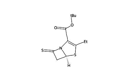 CCC1=C(C(=O)OC(C)(C)C)N2C(=S)C[C@@H]2S1